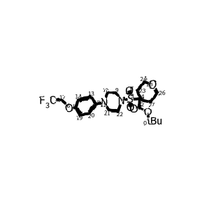 CC(C)(C)OC(=O)C1(S(=O)(=O)N2CCN(c3ccc(OCC(F)(F)F)cc3)CC2)CCOCC1